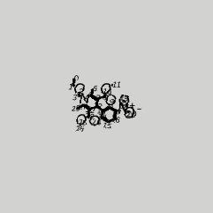 CCOCN1C(C)=C(C(=O)OC)C(c2cccc([N+](=O)[O-])c2)C(C(=O)OC)=C1C